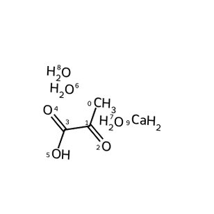 CC(=O)C(=O)O.O.O.O.[CaH2]